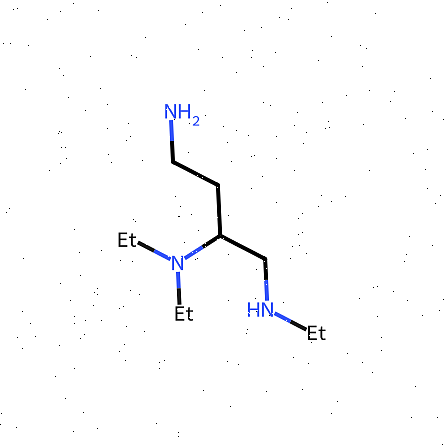 CCNCC(CCN)N(CC)CC